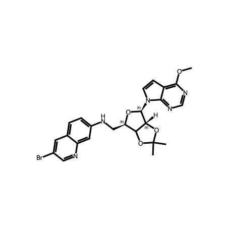 COc1ncnc2c1ccn2[C@@H]1O[C@H](CNc2ccc3cc(Br)cnc3c2)C2OC(C)(C)O[C@H]21